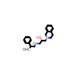 O=CC(CNC[C@H](O)CN1CCc2ccccc2C1)c1ccccc1